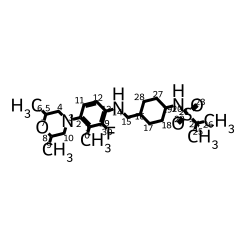 Cc1c(N2CC(C)OC(C)C2)ccc(NCC2CCC(NS(=O)(=O)C(C)C)CC2)c1F